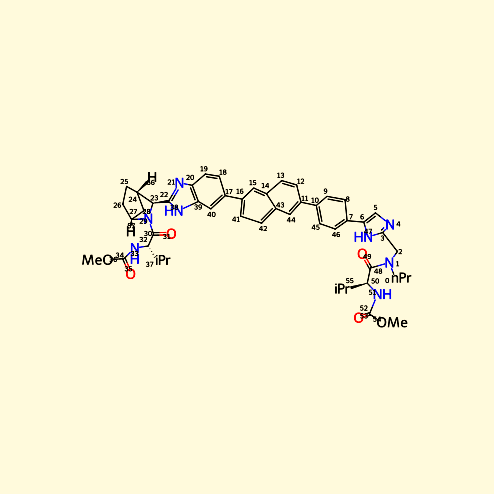 CCCN(Cc1ncc(-c2ccc(-c3ccc4cc(-c5ccc6nc([C@@H]7[C@H]8CC[C@H](C8)N7C(=O)[C@@H](NC(=O)OC)C(C)C)[nH]c6c5)ccc4c3)cc2)[nH]1)C(=O)[C@@H](NC(=O)OC)C(C)C